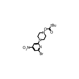 CC(C)(C)C(=O)ON1CCN(c2cc([N+](=O)[O-])cc(Br)n2)CC1